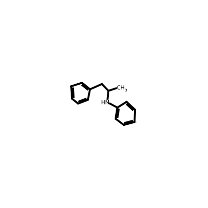 CC(Cc1ccccc1)Nc1cc[c]cc1